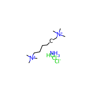 C[N+](C)(C)CCCCCC[N+](C)(C)C.Cl.N.[Cl-].[Cl-]